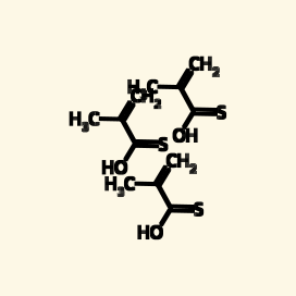 C=C(C)C(O)=S.C=C(C)C(O)=S.C=C(C)C(O)=S